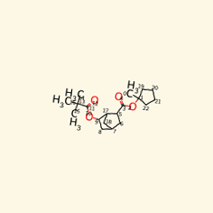 CC1(OC(=O)C2CC3CC(OC(=O)C(C)(C)C)C2C3)CCCC1